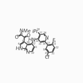 CNC(=O)C(=O)c1c[nH]c2nccc(Nc3cc(-c4cc(Cl)ccc4F)ncc3C(C)C)c12